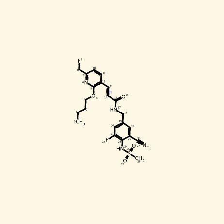 CCCCOc1nc(CF)ccc1/C=C/C(=O)NCc1cc(F)c(NS(C)(=O)=O)c(C#N)c1